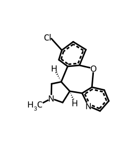 CN1C[C@@H]2c3ncccc3Oc3ccc(Cl)cc3[C@@H]2C1